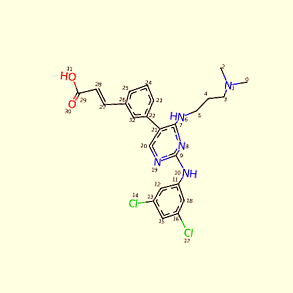 CN(C)CCCNc1nc(Nc2cc(Cl)cc(Cl)c2)ncc1-c1cccc(C=CC(=O)O)c1